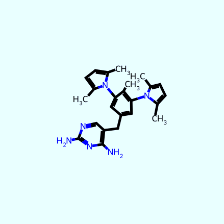 Cc1c(-n2c(C)ccc2C)cc(Cc2cnc(N)nc2N)cc1-n1c(C)ccc1C